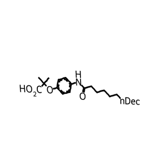 CCCCCCCCCCCCCCCC(=O)Nc1ccc(OC(C)(C)C(=O)O)cc1